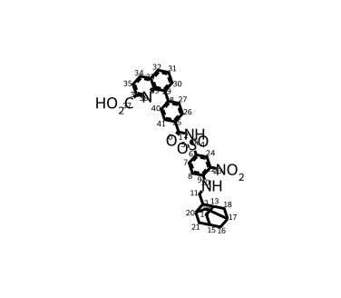 O=C(NS(=O)(=O)c1ccc(NCC2C3CC4CC(C3)CC2C4)c([N+](=O)[O-])c1)c1ccc(-c2cccc3ccc(C(=O)O)nc23)cc1